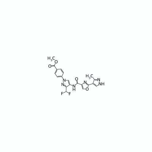 COC(=O)c1ccc(-n2cc(NC(=O)c3coc(-c4c[nH]nc4C)n3)c(C(F)F)n2)cc1